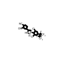 N#Cc1ccc(C2=CN(c3c(Cl)cc(C(F)(C(F)(F)F)C(F)(F)C(F)(F)F)cc3Cl)NN2)cc1N=O